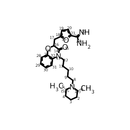 C[C@@H]1CCC[C@H](C)N1CCCCCN1C(=O)C(Cc2ccc(C(=N)N)o2)Oc2ccccc21